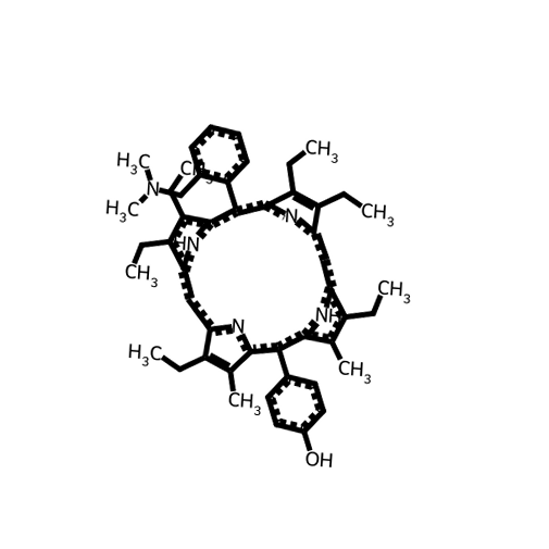 CCC1=C(C)c2nc1cc1[nH]c(c(CC)c1CC)c(-c1ccccc1CN(C)C)c1nc(cc3[nH]c(c(C)c3CC)c2-c2ccc(O)cc2)C(CC)=C1CC